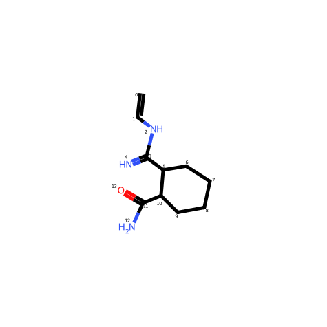 C=CNC(=N)C1CCCCC1C(N)=O